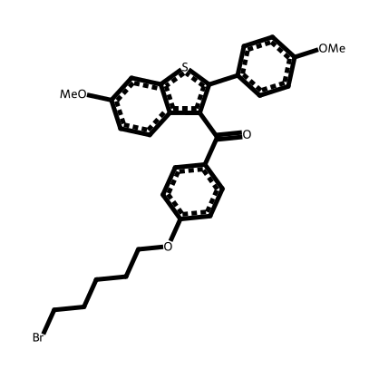 COc1ccc(-c2sc3cc(OC)ccc3c2C(=O)c2ccc(OCCCCCBr)cc2)cc1